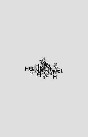 CC[C@H](Nc1cc(C(F)(F)F)c(-c2sc(C(=O)NCC(C)(C)O)nc2C(=O)N2C3CCC2CC3)cn1)C1CC1